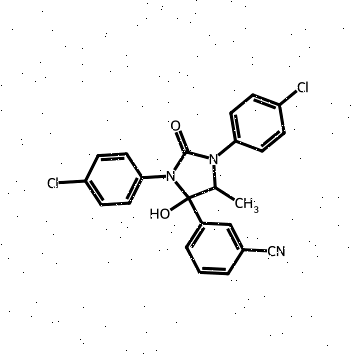 CC1N(c2ccc(Cl)cc2)C(=O)N(c2ccc(Cl)cc2)C1(O)c1cccc(C#N)c1